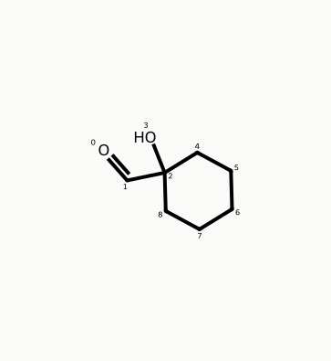 O=[C]C1(O)CCCCC1